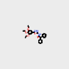 CCOc1cc(-c2nnc(NC(=O)C(c3ccccc3)c3ccccc3)o2)cc(OCC)c1OCC